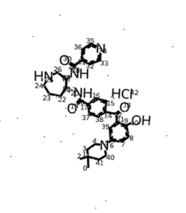 CC1(C)CCN(c2ccc(O)c(C(=O)c3ccc(C(=O)N[C@@H]4CCCNC[C@H]4NC(=O)c4ccncc4)cc3)c2)CC1.Cl